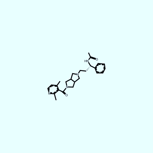 CC(=O)N[C@@H](CCN1CC2CN(C(=O)c3c(C)ccnc3C)CC2C1)c1ccccc1